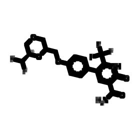 NC(=O)c1cc(-c2ccc(OCC3COC[C@H](C(F)F)O3)cc2)c(C(F)(F)F)[nH]c1=O